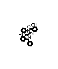 C#CC(N=C(c1ccccc1)c1ccccc1)c1nc2cccc(C)c2c(=O)n1-c1ccccc1